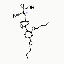 CCCCOc1ccc(-c2ncc(/C=C(\C#N)C(=O)O)s2)c(OCCCC)c1